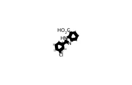 O=C(O)c1cccc2nc(-c3cccc(Cl)c3)[nH]c12